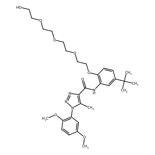 COc1ccc(OC)c(-n2nnc(C(=O)Nc3cc(C(C)(C)C)ccc3OCCOCCOCCOCCO)c2C)c1